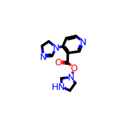 O=C(ON1CCNC1)c1cnccc1N1C=NCC1